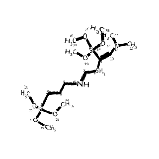 CO[Si](CCCNC[SiH2]C(=CN(C)C)[Si](OC)(OC)OC)(OC)OC